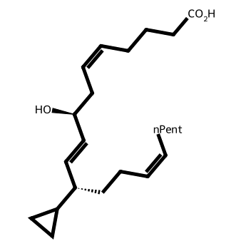 CCCCC/C=C\CC[C@@H](/C=C/[C@@H](O)C/C=C\CCCC(=O)O)C1CC1